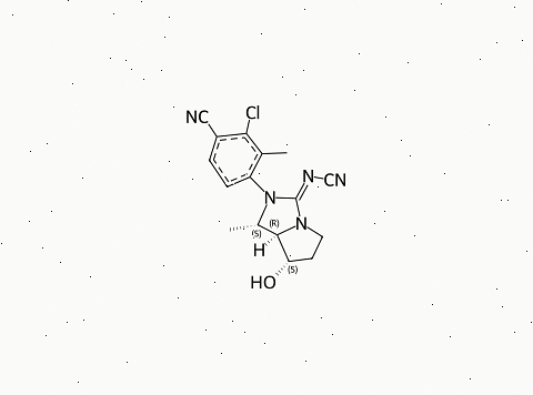 Cc1c(N2C(=NC#N)N3CC[C@H](O)[C@H]3[C@@H]2C)ccc(C#N)c1Cl